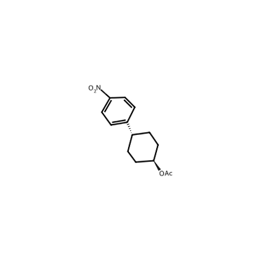 CC(=O)O[C@H]1CC[C@H](c2ccc([N+](=O)[O-])cc2)CC1